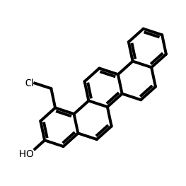 Oc1cc(CCl)c2c(ccc3c4ccc5ccccc5c4ccc32)c1